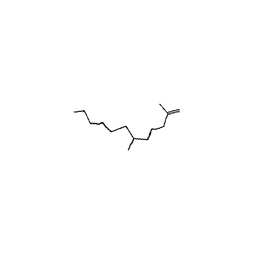 C=C(C)CCCC(C)CCCCCC